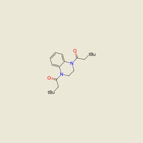 CC(C)(C)CC(=O)N1CCN(C(=O)CC(C)(C)C)c2ccccc21